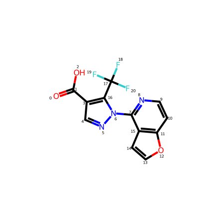 O=C(O)c1cnn(-c2nccc3occc23)c1C(F)(F)F